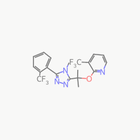 Cn1c(-c2ccccc2C(F)(F)F)nnc1C(C)(C)Oc1ncccc1C(F)(F)F